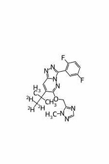 [2H]C([2H])([2H])C(C)(C)c1cc2nnc(-c3cc(F)ccc3F)n2nc1OCc1ncnn1C